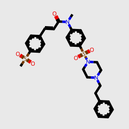 CN(C(=O)C=Cc1ccc(S(C)(=O)=O)cc1)c1ccc(S(=O)(=O)N2CCN(CCc3ccccc3)CC2)cc1